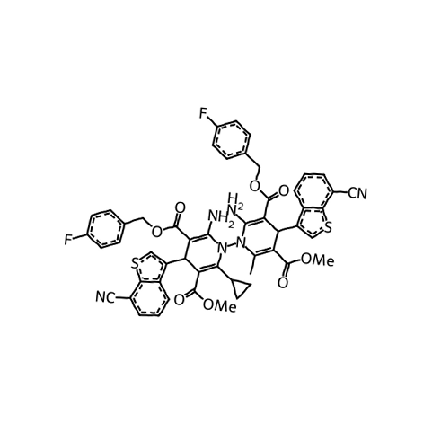 COC(=O)C1=C(C)N(N2C(N)=C(C(=O)OCc3ccc(F)cc3)C(c3csc4c(C#N)cccc34)C(C(=O)OC)=C2C2CC2)C(N)=C(C(=O)OCc2ccc(F)cc2)C1c1csc2c(C#N)cccc12